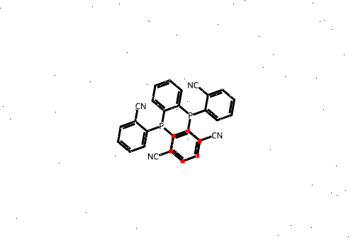 N#Cc1ccccc1P(c1ccccc1C#N)c1ccccc1P(c1ccccc1C#N)c1ccccc1C#N